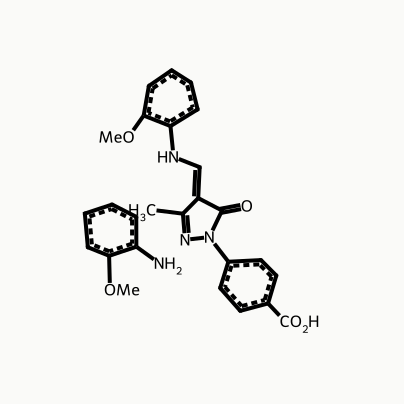 COc1ccccc1N.COc1ccccc1NC=C1C(=O)N(c2ccc(C(=O)O)cc2)N=C1C